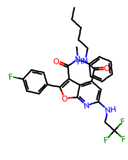 CCCCCNC(=O)c1cc(NCC(F)(F)F)nc2oc(-c3ccc(F)cc3)c(C(=O)N(C)c3ccccc3)c12